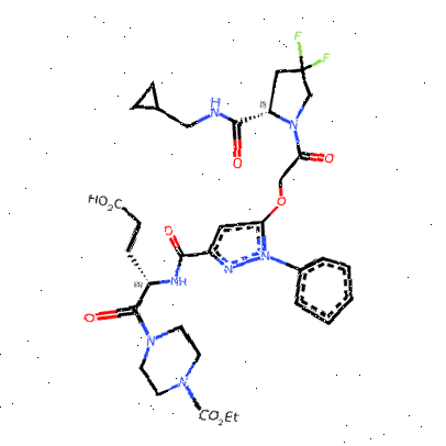 CCOC(=O)N1CCN(C(=O)[C@H](CCC(=O)O)NC(=O)c2cc(OCC(=O)N3CC(F)(F)C[C@H]3C(=O)NCC3CC3)n(-c3ccccc3)n2)CC1